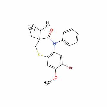 CCC1(C(C)C)CSc2cc(OC)c(Br)cc2N(c2ccccc2)C1=O